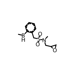 CBc1ccccc1CS(=O)(=O)N(C)CC1CO1